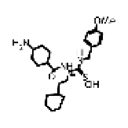 COc1ccc(CNC(=S)[C@@H](CCC2CCCCC2)NC(=O)C2CCC(N)CC2)cc1.Cl